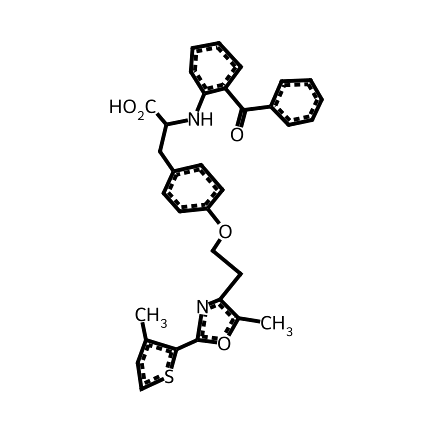 Cc1ccsc1-c1nc(CCOc2ccc(CC(Nc3ccccc3C(=O)c3ccccc3)C(=O)O)cc2)c(C)o1